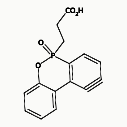 O=C(O)CCP1(=O)Oc2ccccc2-c2c#cccc21